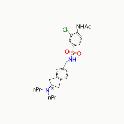 CCCN(CCC)[C@@H]1Cc2ccc(CNS(=O)(=O)c3ccc(NC(C)=O)c(Cl)c3)cc2C1